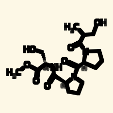 COC(=O)[C@H](CO)NC(=O)[C@@H]1CCCN1C(=O)[C@@H]1CCCN1C(=O)C(C)CO